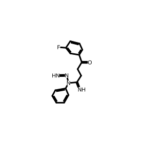 N=NN(C(=N)CCC(=O)c1cccc(F)c1)c1ccccc1